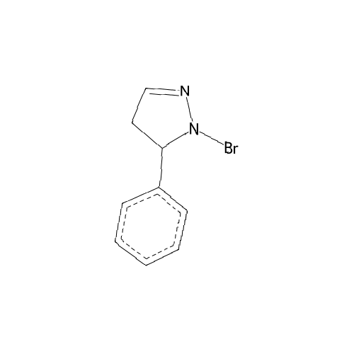 BrN1N=CCC1c1ccccc1